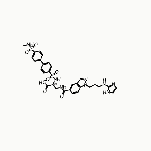 CNS(=O)(=O)c1ccc(-c2ccc(S(=O)(=O)N[C@@H](CNC(=O)c3ccc4c(cnn4CCCNc4ncc[nH]4)c3)C(=O)O)cc2)cc1